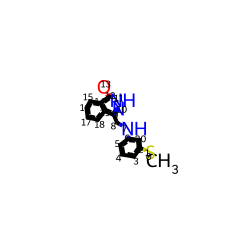 CSc1cccc(NCc2n[nH]c(=O)c3ccccc23)c1